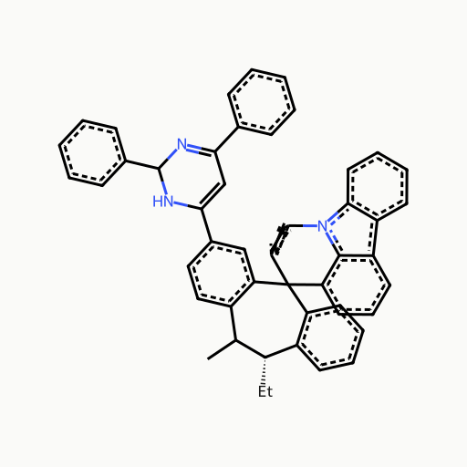 CC[C@H]1c2ccccc2C2(c3cc(C4=CC(c5ccccc5)=NC(c5ccccc5)N4)ccc3C1C)c1ccccc1-n1c3ccccc3c3cccc2c31